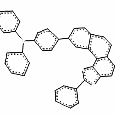 c1ccc(-c2nc3c(ccc4ccc5ccc(-c6ccc(N(c7ccccc7)c7ccccc7)cc6)cc5c43)s2)cc1